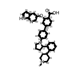 CN1CCC(c2ccccc2C2CCCN2c2ccc(-c3ccc(C(=O)O)c(Oc4cnc5[nH]ccc5c4)c3)cc2)CC1